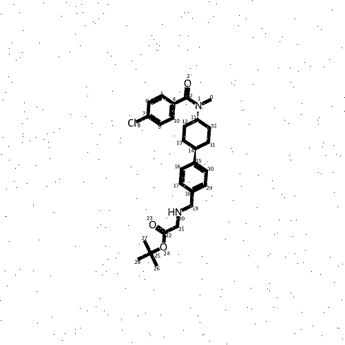 CN(C(=O)c1ccc(Cl)cc1)[C@H]1CC[C@H](c2ccc(CNCC(=O)OC(C)(C)C)cc2)CC1